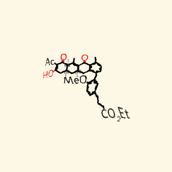 CCOC(=O)CCCc1ccc(OC)c(-c2ccc(C)c3c2C[C@@]2(C)C[C@@]4(C)CC(O)=C(C(C)=O)C(=O)[C@@]4(C)C(C)=C2C3=O)c1